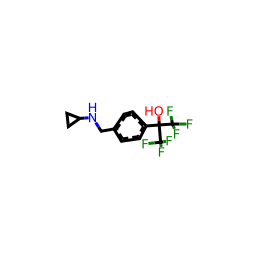 OC(c1ccc(CNC2CC2)cc1)(C(F)(F)F)C(F)(F)F